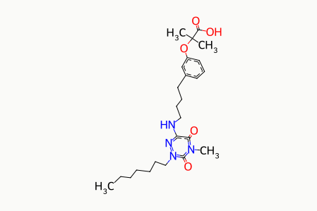 CCCCCCCn1nc(NCCCCc2cccc(OC(C)(C)C(=O)O)c2)c(=O)n(C)c1=O